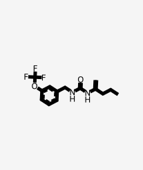 C=C(CCC)NC(=O)NCc1cccc(OC(F)(F)F)c1